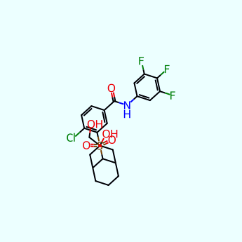 O=C(Nc1cc(F)c(F)c(F)c1)c1ccc(Cl)c(S(=O)(=O)C2C3CCCC2CC(O)(CO)C3)c1